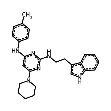 Cc1ccc(Nc2cc(N3CCCCC3)nc(NCCc3c[nH]c4ccccc34)n2)cc1